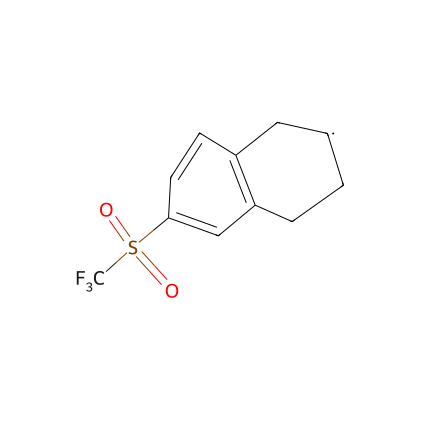 O=S(=O)(c1ccc2c(c1)CC[CH]C2)C(F)(F)F